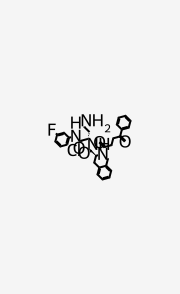 NCC[C@H](NC(=O)[C@@H]1Cc2ccccc2CN1C(=O)CCC(=O)c1ccccc1)C(=O)Nc1cc(F)ccc1Cl